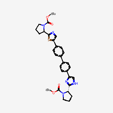 CC(C)(C)OC(=O)N1CCCC1c1ncc(-c2ccc(-c3ccc(-c4c[nH]c([C@@H]5CCCN5C(=O)OC(C)(C)C)n4)cc3)cc2)s1